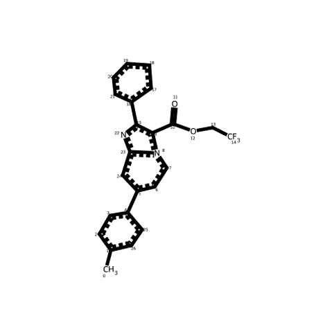 Cc1ccc(-c2ccn3c(C(=O)OCC(F)(F)F)c(-c4ccccc4)nc3c2)cc1